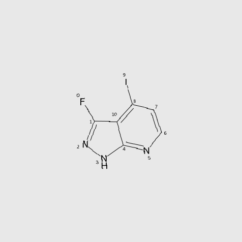 Fc1n[nH]c2nccc(I)c12